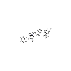 COc1ccc(Cn2ncc3cc(/C=C4\SC(=O)N(CCN5CCCCC5)C4=O)ccc32)c(C(F)(F)F)c1